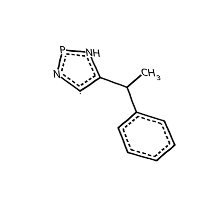 CC(c1ccccc1)c1[c]np[nH]1